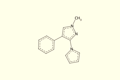 Cn1cc(-c2ccccc2)c(-n2cccc2)n1